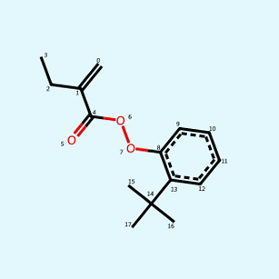 C=C(CC)C(=O)OOc1ccccc1C(C)(C)C